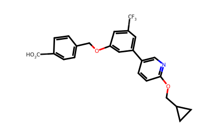 O=C(O)c1ccc(COc2cc(-c3ccc(OCC4CC4)nc3)cc(C(F)(F)F)c2)cc1